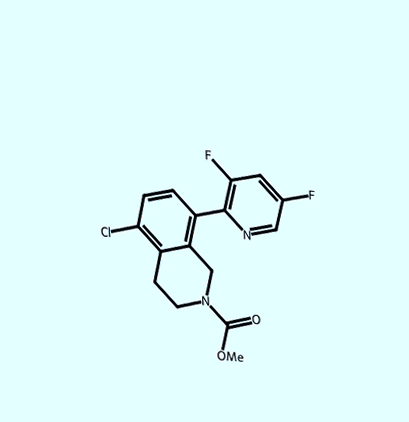 COC(=O)N1CCc2c(Cl)ccc(-c3ncc(F)cc3F)c2C1